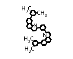 Cc1cc(C)cc(-c2ccc3ccc4ccc(-c5cccc(-c6ccc7ccc8ccc(-c9cc(C)cc(C)c9)cc8c7n6)c5)nc4c3c2)c1